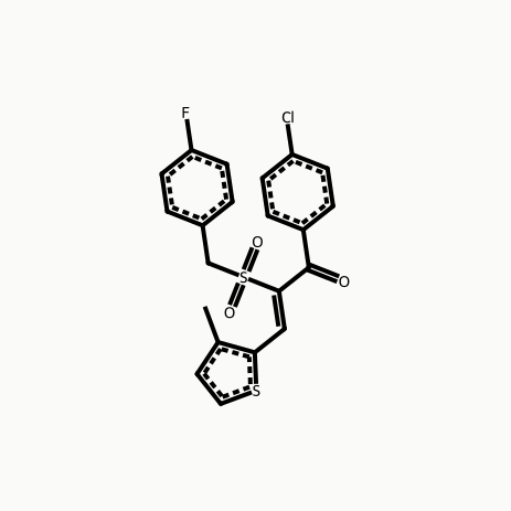 Cc1ccsc1/C=C(/C(=O)c1ccc(Cl)cc1)S(=O)(=O)Cc1ccc(F)cc1